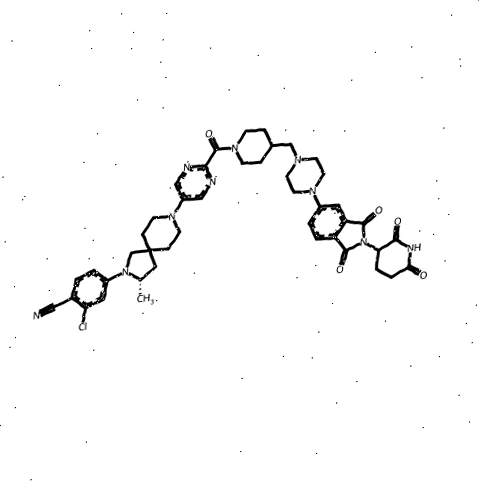 C[C@H]1CC2(CCN(c3cnc(C(=O)N4CCC(CN5CCN(c6ccc7c(c6)C(=O)N(C6CCC(=O)NC6=O)C7=O)CC5)CC4)nc3)CC2)CN1c1ccc(C#N)c(Cl)c1